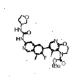 Cc1c(-c2cc3cc(NC(=O)NC4CCOC4)ncc3c(C)c2F)cnc2c1N(C(=O)OC(C)(C)C)CCO2